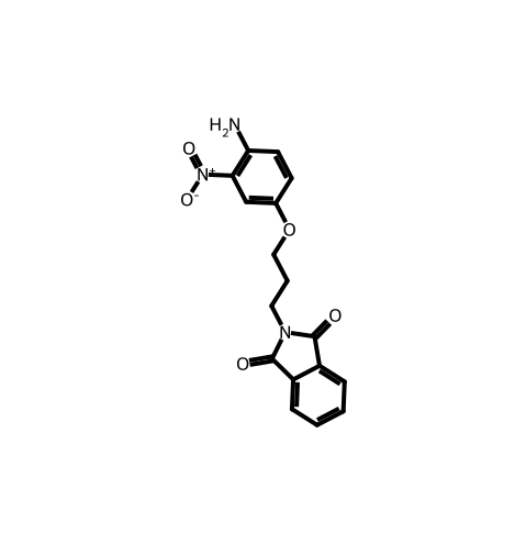 Nc1ccc(OCCCN2C(=O)c3ccccc3C2=O)cc1[N+](=O)[O-]